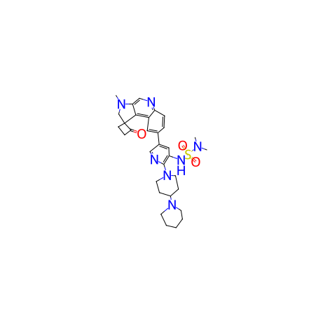 CN1CC2(CCC2=O)c2c1cnc1ccc(-c3cnc(N4CCC(N5CCCCC5)CC4)c(NS(=O)(=O)N(C)C)c3)cc21